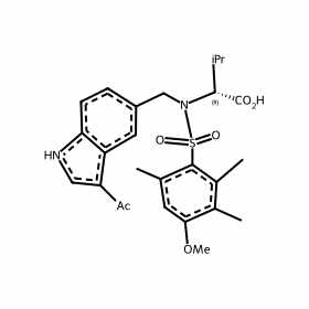 COc1cc(C)c(S(=O)(=O)N(Cc2ccc3[nH]cc(C(C)=O)c3c2)[C@@H](C(=O)O)C(C)C)c(C)c1C